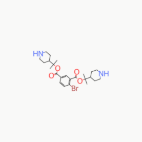 CC(C)(OC(=O)c1ccc(Br)c(C(=O)OC(C)(C)C2CCNCC2)c1)C1CCNCC1